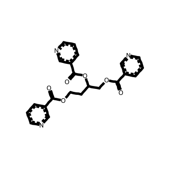 O=C(OCCC(COC(=O)c1cccnc1)OC(=O)c1cccnc1)c1cccnc1